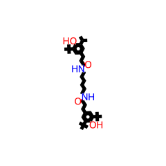 CC(C)c1cc(CCC(=O)NCCCCCCNC(=O)CCc2cc(C(C)(C)C)c(O)c(C(C)(C)C)c2)cc(C(C)(C)C)c1O